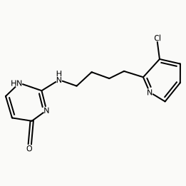 O=c1cc[nH]c(NCCCCc2ncccc2Cl)n1